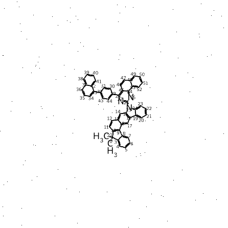 CC1(C)c2ccccc2-c2c1ccc1cc3c(cc21)c1ccccc1n3-c1nc(-c2ccc(-c3cccc4ccccc34)cc2)c2ccc3ccccc3c2n1